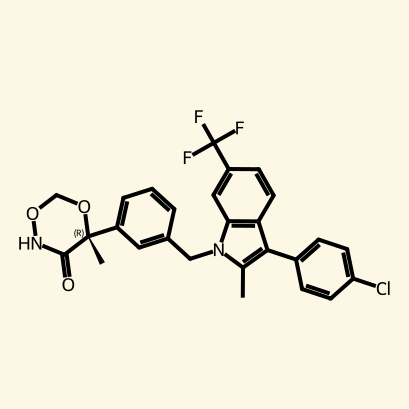 Cc1c(-c2ccc(Cl)cc2)c2ccc(C(F)(F)F)cc2n1Cc1cccc([C@@]2(C)OCONC2=O)c1